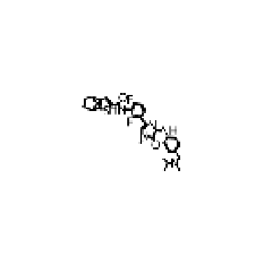 CC(C)N(C)Cc1ccc(Nc2nc(-c3ccc(F)c(NC(=O)c4cc5c(s4)C4CCC5C4)c3F)cn(C)c2=O)cc1